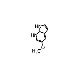 COC1=CNC2NC=CC2=C1